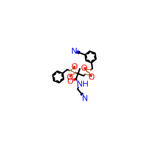 CC(CS(=O)(=O)Cc1cccc(C#N)c1)(C(=O)NCC#N)S(=O)(=O)Cc1ccccc1